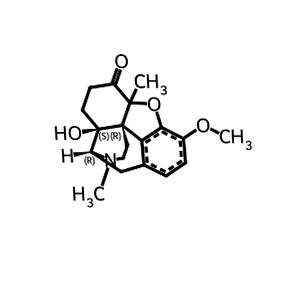 COc1ccc2c3c1OC1(C)C(=O)CC[C@@]4(O)[C@@H](C2)N(C)CC[C@]314